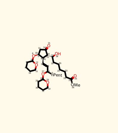 CCCCCC(C=C[C@H]1[C@@H](OC2CCCCO2)CC(=O)[C@@H]1C(O)CCCCCC(=O)OC)OC1CCCCO1